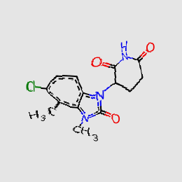 Cc1c(Cl)ccc2c1n(C)c(=O)n2C1CCC(=O)NC1=O